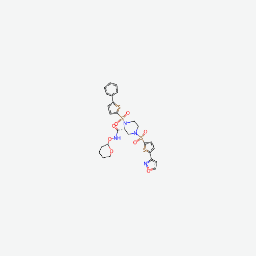 O=C(NOC1CCCCO1)[C@H]1CN(S(=O)(=O)c2ccc(-c3ccon3)s2)CCN1S(=O)(=O)c1ccc(-c2ccccc2)s1